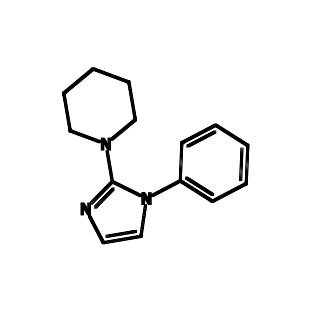 c1ccc(-n2ccnc2N2CCCCC2)cc1